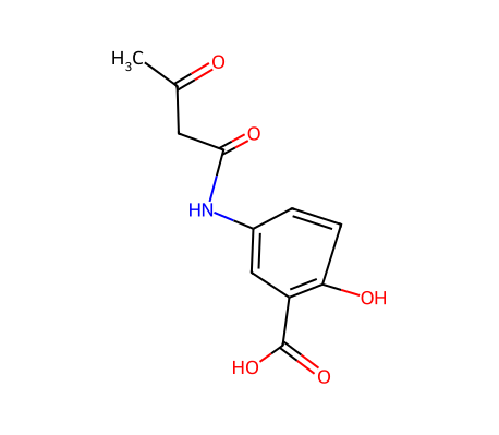 CC(=O)CC(=O)Nc1ccc(O)c(C(=O)O)c1